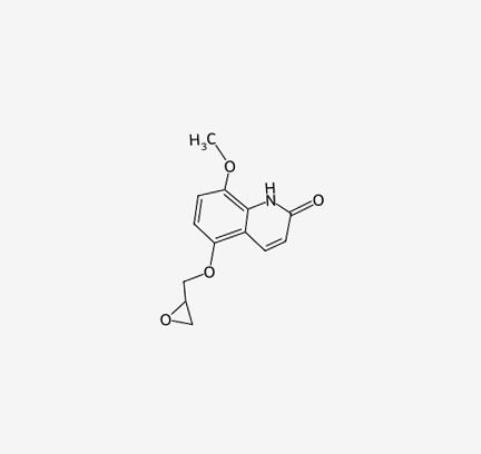 COc1ccc(OCC2CO2)c2ccc(=O)[nH]c12